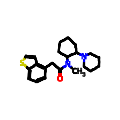 CN(C(=O)Cc1cccc2sccc12)C1CCCCC1N1CCCCC1